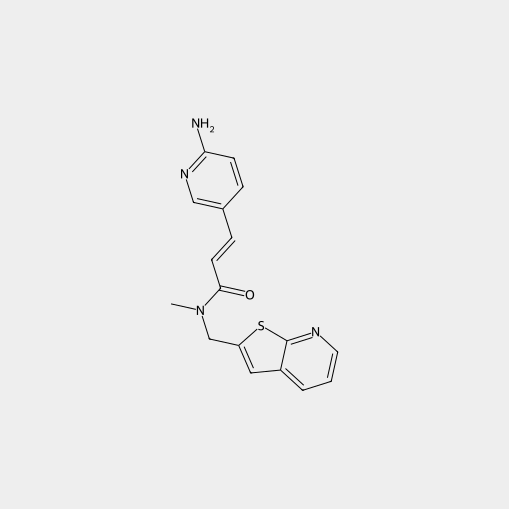 CN(Cc1cc2cccnc2s1)C(=O)C=Cc1ccc(N)nc1